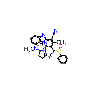 Cc1c(C(C)[S+]([O-])c2ccccc2)c(N2CCCC2N(C)C)n2c(nc3ccccc32)c1C#N